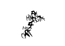 Cc1ncc(Cl)cc1N[C@H](C)c1ccc(C(=O)N[C@@H](CC2CCCC2)C(=O)N[C@H]2CC2(F)F)s1